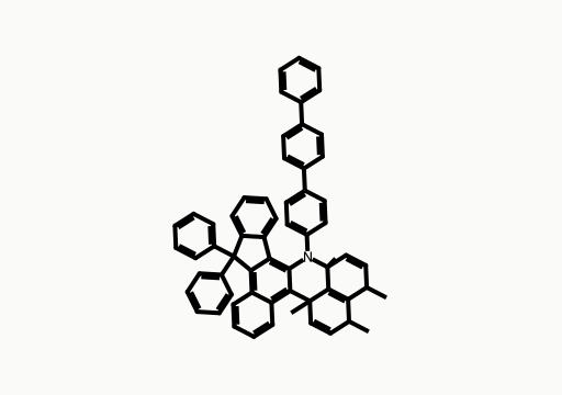 CC1C=CC2(C)C3=C1C(C)C=CC3(C)N(c1ccc(-c3ccc(-c4ccccc4)cc3)cc1)c1c3c(c4ccccc4c12)C(c1ccccc1)(c1ccccc1)c1ccccc1-3